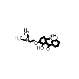 CCN(CC)CCOc1ccc2c(c1O)c(=O)c1ccccc1n2C